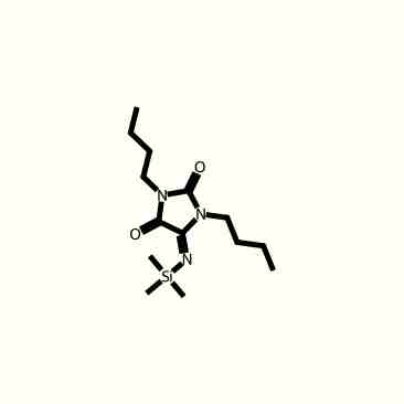 CCCCN1C(=O)C(=N[Si](C)(C)C)N(CCCC)C1=O